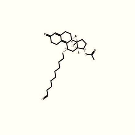 CC(=O)O[C@H]1CC[C@H]2[C@@H]3CCC4=CC(=O)CCC4=C3[C@@H](CCCCCCCCCC=O)C[C@]12C